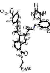 COCCNC(=O)c1cccc2c1CCN(C(=O)/C=C/c1cc(Cl)ccc1N1C=NNN1)C2C(=O)Nc1ccc(C(=O)O)cc1